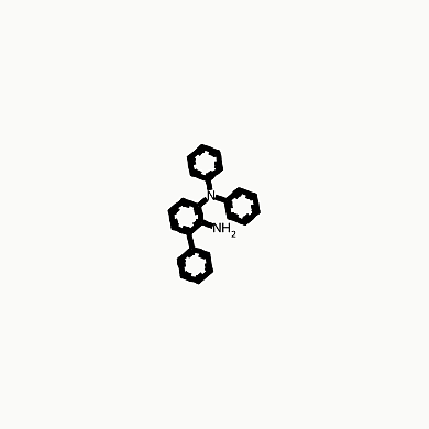 Nc1c(-c2ccccc2)cccc1N(c1ccccc1)c1ccccc1